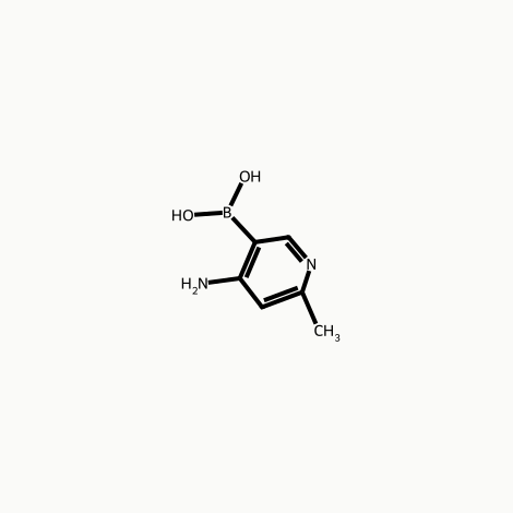 Cc1cc(N)c(B(O)O)cn1